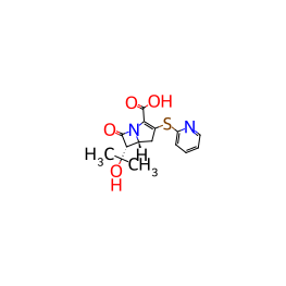 CC(C)(O)[C@@H]1C(=O)N2C(C(=O)O)=C(Sc3ccccn3)C[C@H]12